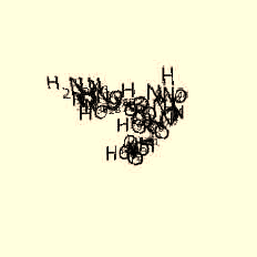 Nc1nc2c(ncn2[C@@H]2O[C@H](CCOP(=O)(O)O)[C@@H](O)[C@H]2OP(=O)(O)OC[C@@H]2C[C@@H](O)[C@H](n3cnc4c(N)ncnc43)O2)c(=O)[nH]1